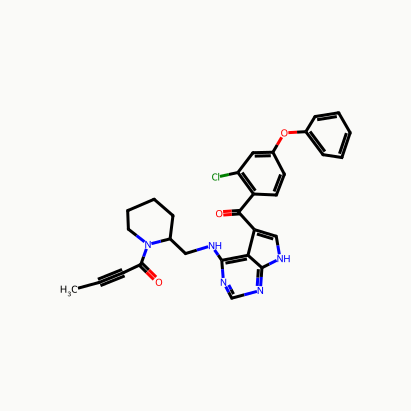 CC#CC(=O)N1CCCCC1CNc1ncnc2[nH]cc(C(=O)c3ccc(Oc4ccccc4)cc3Cl)c12